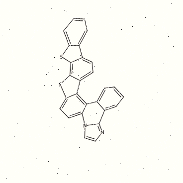 c1ccc2c(c1)sc1c2ccc2c1sc1ccc3c(c4ccccc4c4nccn34)c12